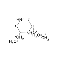 C1CNCCN1.O.O.O.O.O